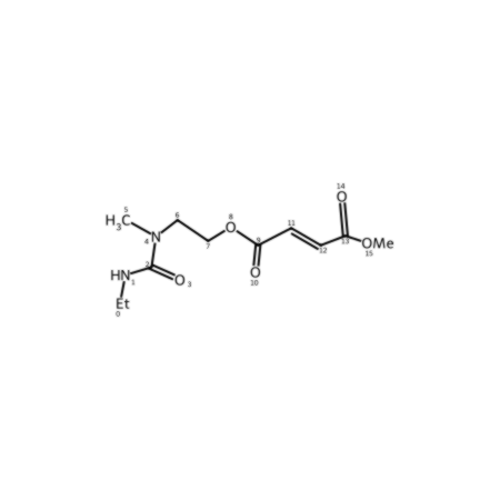 CCNC(=O)N(C)CCOC(=O)/C=C/C(=O)OC